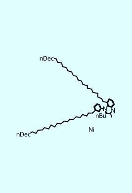 CCCCCCCCCCCCCCCCCCCCCCCCCCCCCCc1cccc(N=C(C)C(CCCC)=Nc2cccc(CCCCCCCCCCCCCCCCCCCCCCCCCCCCCC)c2)c1.[Ni]